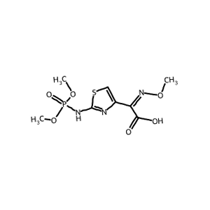 CON=C(C(=O)O)c1csc(NP(=O)(OC)OC)n1